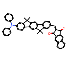 CC1(C)c2cc(C=C3C(=O)c4cc5ccccc5cc4C3=O)ccc2-c2cc3c(cc21)-c1ccc(N(c2ccccc2)c2ccccc2)cc1C3(C)C